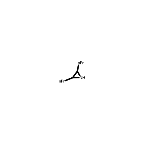 CCCC1NC1CCC